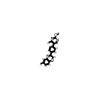 COc1ncc(-c2ccc(C3=Nc4cc(C)ccc4OC3)cc2)c(C)n1